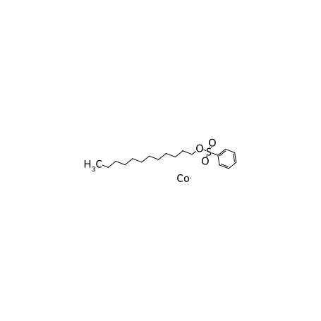 CCCCCCCCCCCCOS(=O)(=O)c1ccccc1.[Co]